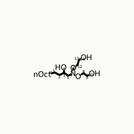 CCCCCCCCCCC(O)CN(OCCO)OCCO